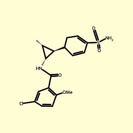 COc1ccc(Cl)cc1C(=O)N[C@@H]1[C@H](C)[C@H]1C1C=CC(S(N)(=O)=O)=CC1